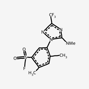 CNc1nc(C(F)(F)F)nn1-c1cc(S(=O)(=O)F)c(C)cc1C